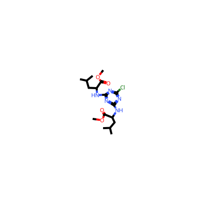 COC(=O)C(CC(C)C)Nc1nc(Cl)nc(NC(CC(C)C)C(=O)OC)n1